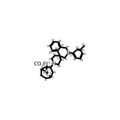 CCOC(=O)N1CC2CCC1CC(N1CCC3(CC1)CN(c1cccc(C)c1)Cc1ccccc13)C2